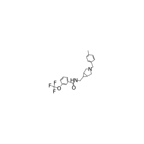 Cc1ccc(CN2CC3C(CNC(=O)c4cccc(OC(F)(F)F)c4)C3C2)cc1